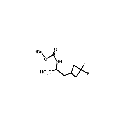 CC(C)(C)OC(=O)NC(CC1CC(F)(F)C1)C(=O)O